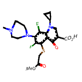 COC(=O)CSc1c(F)c(N2CCN(C)CC2)c(F)c2c1c(=O)c(C(=O)O)cn2C1CC1